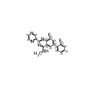 CNc1nc(-c2cnccn2)nc2c(F)cc(-c3ccccc3F)cc12